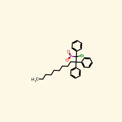 CCCCCCCCCC(c1ccccc1)(c1ccccc1)C(Br)(c1ccccc1)P(=O)=O